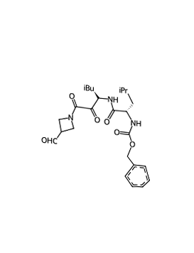 CC[C@H](C)C(NC(=O)[C@H](CC(C)C)NC(=O)OCc1ccccc1)C(=O)C(=O)N1CC(C=O)C1